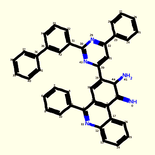 N=C1c2c(c(-c3ccccc3)nc3ccccc23)C=C(c2cc(-c3ccccc3)nc(-c3cccc(-c4ccccc4)c3)n2)C1N